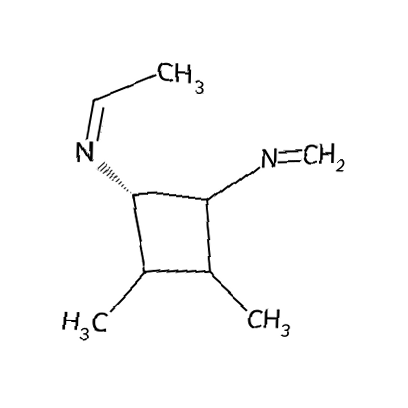 C=NC1C(C)C(C)[C@@H]1/N=C\C